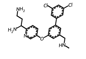 CNCc1cc(Oc2ccc(C(N)CCN)nc2)cc(-c2cc(Cl)cc(Cl)c2)c1